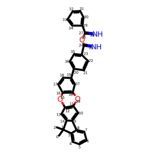 CC1(C)c2ccccc2-c2cc3c(cc21)Oc1ccc(-c2ccc(C(=N)OC(=N)c4ccccc4)cc2)cc1O3